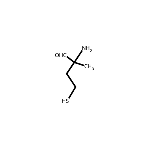 CC(N)(C=O)CCS